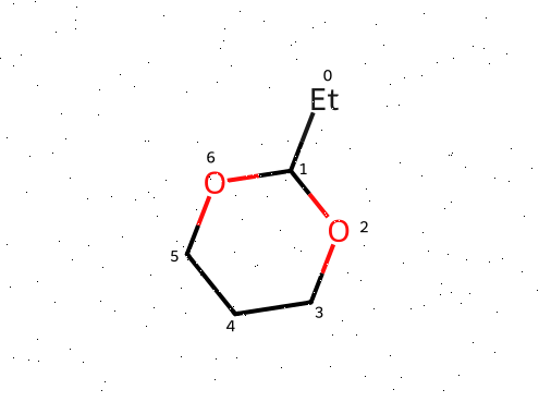 CCC1OCCCO1